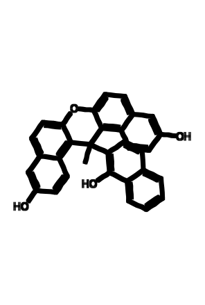 CC1(c2ccc3ccccc3c2O)c2c(ccc3cc(O)ccc23)Oc2ccc3cc(O)ccc3c21